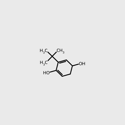 CC(C)(C)C1=C[C](O)CC=C1O